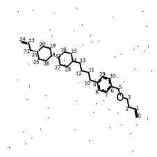 C=CCCOCc1ccc(CCCCC2CCC([C@H]3CC[C@H](CC=C)CC3)CC2)cc1